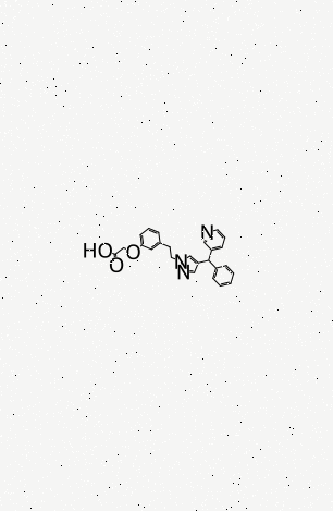 O=C(O)COc1cccc(CCn2cc(C(c3ccccc3)c3cccnc3)cn2)c1